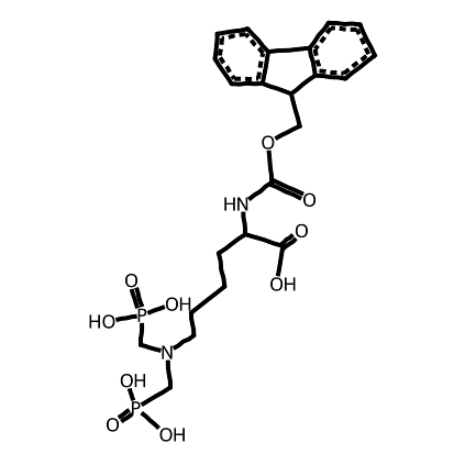 O=C(NC(CCCCN(CP(=O)(O)O)CP(=O)(O)O)C(=O)O)OCC1c2ccccc2-c2ccccc21